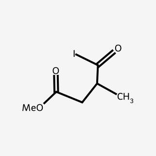 COC(=O)CC(C)C(=O)I